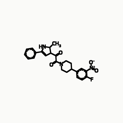 CC1NC(c2ccccc2)=CC1C(=O)C(=O)N1CCC(c2ccc(F)c([N+](=O)[O-])c2)CC1